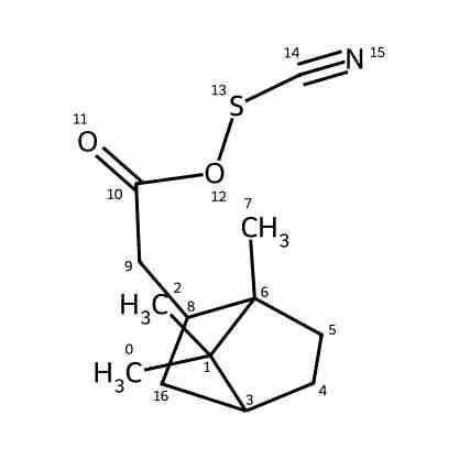 CC1(C)C2CCC1(C)C(CC(=O)OSC#N)C2